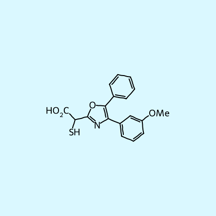 COc1cccc(-c2nc(C(S)C(=O)O)oc2-c2ccccc2)c1